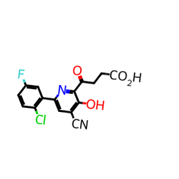 N#Cc1cc(-c2cc(F)ccc2Cl)nc(C(=O)CCC(=O)O)c1O